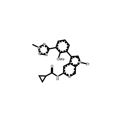 CCn1cc(-c2cccc(-c3nnn(C)n3)c2OC)c2cc(NC(=O)C3CC3)ncc21